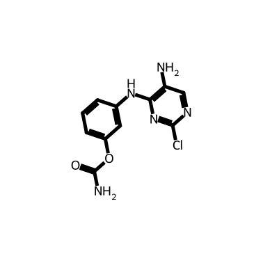 NC(=O)Oc1cccc(Nc2nc(Cl)ncc2N)c1